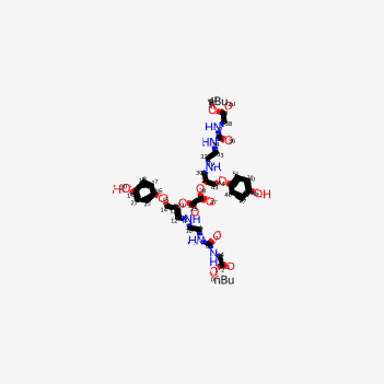 CCCCOC(=O)CNC(=O)NCCNCC(COc1ccc(O)cc1)OC(=O)C(=O)OC(CNCCNC(=O)NCC(=O)OCCCC)COc1ccc(O)cc1